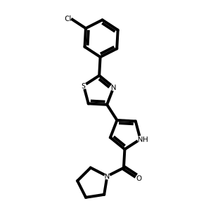 O=C(c1cc(-c2csc(-c3cccc(Cl)c3)n2)c[nH]1)N1CCCC1